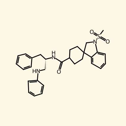 CS(=O)(=O)N1CC2(CCC(C(=O)N[C@H](CNc3ccccc3)Cc3ccccc3)CC2)c2ccccc21